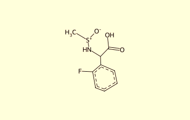 C[S+]([O-])NC(C(=O)O)c1ccccc1F